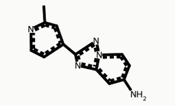 Cc1cc(-c2nc3cc(N)ccn3n2)ccn1